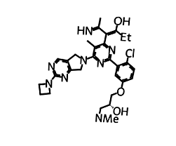 CC/C(O)=C(/C(C)=N)c1nc(-c2cc(OC[C@H](O)CNC)ccc2Cl)nc(N2Cc3cnc(N4CCC4)nc3C2)c1C